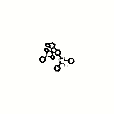 C=N/C(=N\C(=N/Cc1ccccc1)c1ccc2c(c1)C1(c3ccccc3N(c3ccccc3)c3ccccc31)c1c-2ccc2ccccc12)c1ccccc1